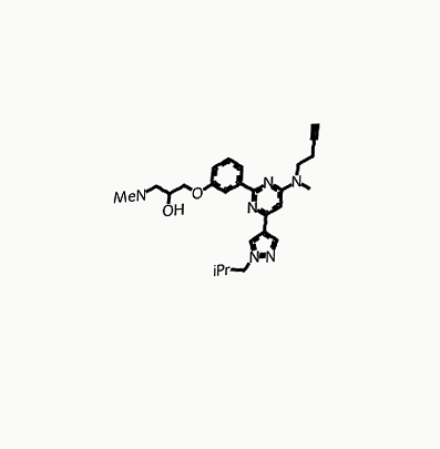 C#CCCN(C)c1cc(-c2cnn(CC(C)C)c2)nc(-c2cccc(OCC(O)CNC)c2)n1